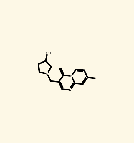 C=C1C(CN2CCC(O)C2)=CN=C2C=C(C)C=CN12